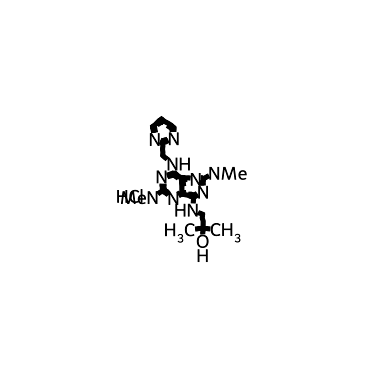 CNc1nc(NCC(C)(C)O)c2nc(NC)nc(NCc3ncccn3)c2n1.Cl